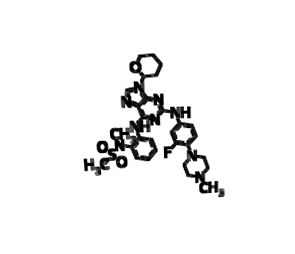 CN1CCN(c2ccc(Nc3nc(Nc4ccccc4N(C)S(C)(=O)=O)c4ncn(C5CCCCO5)c4n3)cc2F)CC1